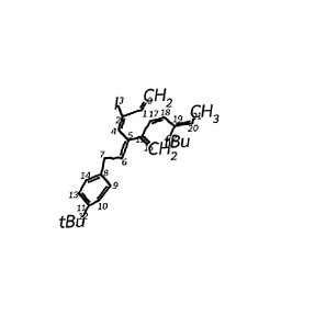 C=C/C(I)=C\C(=C/Cc1ccc(C(C)(C)C)cc1)C(=C)/C=C\C(=C/C)C(C)(C)C